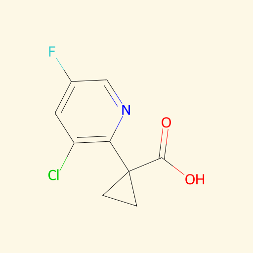 O=C(O)C1(c2ncc(F)cc2Cl)CC1